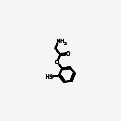 NCC(=O)Oc1ccccc1S